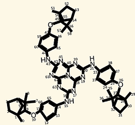 CC12CCC(C1)C(C)(C)C2Oc1ccc(NC2=NC3=NC(Nc4ccc(OC5C6(C)CCC(C6)C5(C)C)cc4)=NC4=NC(Nc5ccc(OC6C7(C)CCC(C7)C6(C)C)cc5)=NC(=N2)N34)cc1